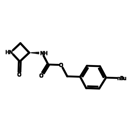 CCCCc1ccc(COC(=O)N[C@H]2CNC2=O)cc1